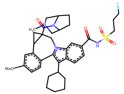 COc1ccc2c(c1)C1CC1(C(=O)N1C3CCC1CN(C)C3)Cn1c-2c(C2CCCCC2)c2ccc(C(=O)NS(=O)(=O)CCCF)cc21